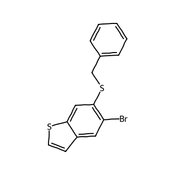 Brc1cc2ccsc2cc1SCc1ccccc1